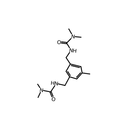 Cc1cc(CNC(=O)N(C)C)cc(CNC(=O)N(C)C)c1